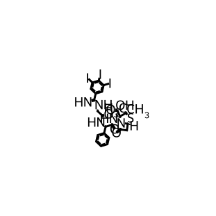 CC1(C)S[C@@H]2CC(=O)N2[C@@]1(NC(=O)C(NC(=O)CNC(=N)c1cc(I)c(I)c(I)c1)c1ccccc1)C(=O)O